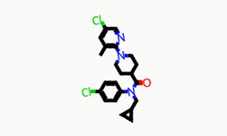 Cc1cc(Cl)cnc1N1CCC(C(=O)N(CC2CC2)c2ccc(Cl)cc2)CC1